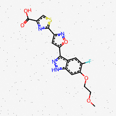 COCCOc1cc2[nH]nc(-c3cc(-c4nc(C(=O)O)cs4)no3)c2cc1F